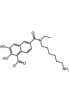 CCN(CCCCCCN)C(=O)c1ccc2c([N+](=O)[O-])c(O)c(O)cc2c1